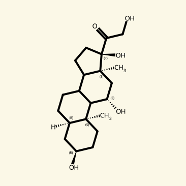 C[C@]12C[C@H](O)C3C(CC[C@@H]4C[C@H](O)CC[C@]34C)C1CC[C@]2(O)C(=O)CO